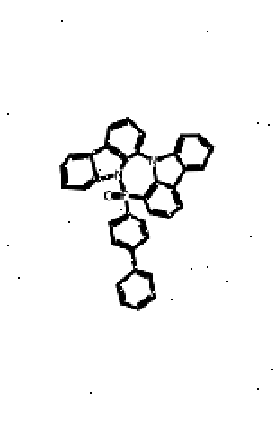 O=P1(c2ccc(-c3ccccc3)cc2)c2cccc3c4ccccc4n(c23)-c2cccc3c4ccccc4n1c23